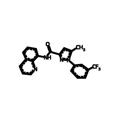 Cc1cc(C(=O)Nc2cccc3cccnc23)nn1-c1cccc(C(F)(F)F)c1